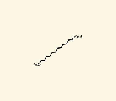 CCCCCC=CCCC=CCCCCCCOC(C)=O